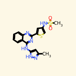 Cc1cc(Nc2nc(-c3cc(NS(C)(=O)=O)cs3)nc3ccccc23)[nH]n1